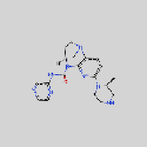 C[C@H]1CNCCN1c1ccc2c(n1)N(C(=O)Nc1cnccn1)[C@H]1CCN2C1